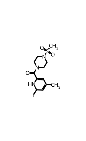 CC1=CC(I)NC(C(=O)N2CCN(S(C)(=O)=O)CC2)=C1